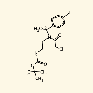 C[C@@H](c1ccc(I)cc1)N(CCNC(=O)OC(C)(C)C)C(=O)CCl